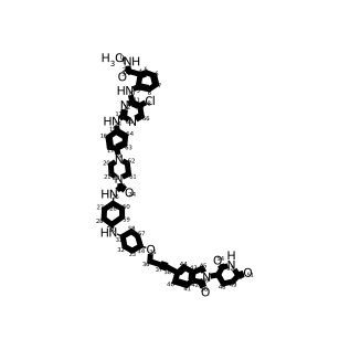 CNC(=O)c1ccccc1Nc1nc(Nc2ccc(N3CCN(C(=O)N[C@H]4CC[C@H](N[C@H]5CC[C@@H](OCC#Cc6ccc7c(c6)CN(C6CCC(=O)NC6=O)C7=O)CC5)CC4)CC3)cc2)ncc1Cl